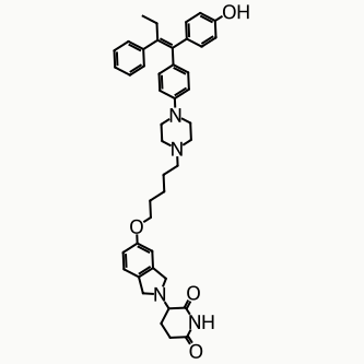 CCC(=C(c1ccc(O)cc1)c1ccc(N2CCN(CCCCCOc3ccc4c(c3)CN(C3CCC(=O)NC3=O)C4)CC2)cc1)c1ccccc1